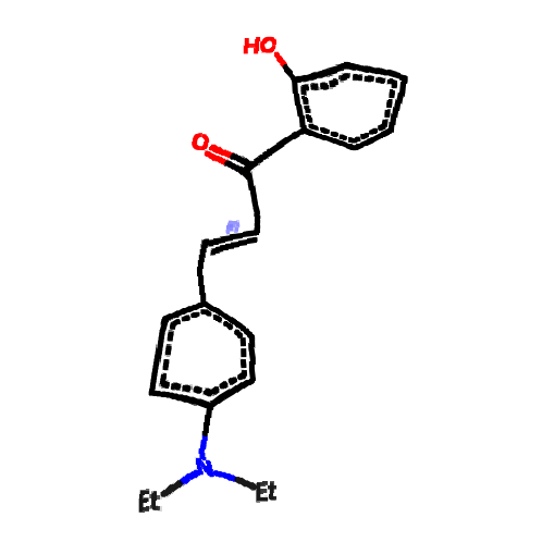 CCN(CC)c1ccc(/C=C/C(=O)c2ccccc2O)cc1